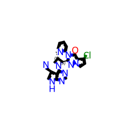 C[C@H]1CN(c2ncnc3[nH]cc(C#N)c23)[C@@H]1c1nn2ccc(Cl)c2c(=O)n1-c1ccccn1